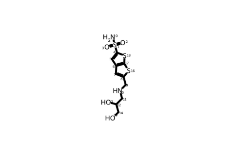 NS(=O)(=O)c1cc2cc(CNCC(O)CO)sc2s1